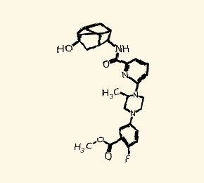 COC(=O)c1cc(N2CCN(c3cccc(C(=O)NC4C5CC6CC4CC(O)(C6)C5)n3)C(C)C2)ccc1F